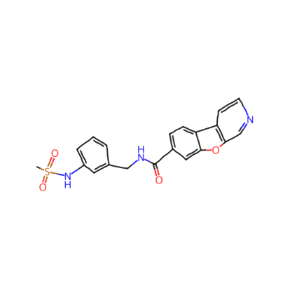 CS(=O)(=O)Nc1cccc(CNC(=O)c2ccc3c(c2)oc2cnccc23)c1